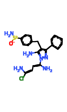 N/C(Cl)=C\C=C(/N)n1nc(-c2ccccc2)c(Cc2ccc([S+](N)[O-])cc2)c1N